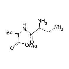 CC[C@H](C)[C@H](NC(=O)[C@@H](N)CN)C(=O)OC